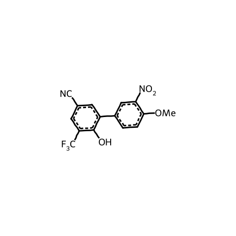 COc1ccc(-c2cc(C#N)cc(C(F)(F)F)c2O)cc1[N+](=O)[O-]